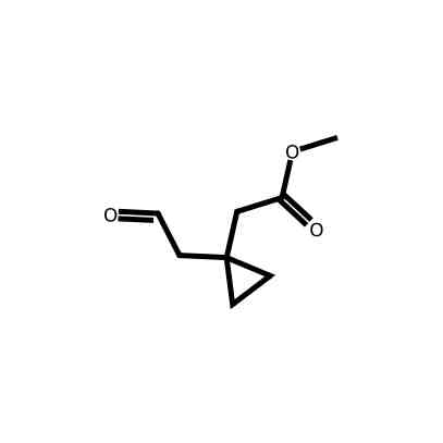 COC(=O)CC1(CC=O)CC1